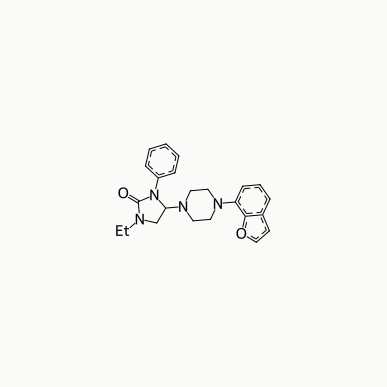 CCN1CC(N2CCN(c3cccc4ccoc34)CC2)N(c2ccccc2)C1=O